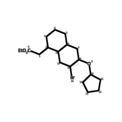 CCOC(=O)CC1CCCC2CC(OC3CCCC3)C(Br)CC12